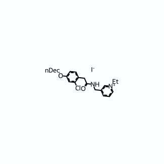 CCCCCCCCCCOc1ccc(CC(=O)NCc2ccc[n+](CC)c2)c(Cl)c1.[I-]